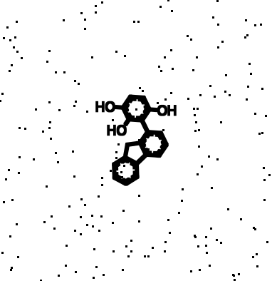 Oc1ccc(O)c(-c2cccc3c2Cc2ccccc2-3)c1O